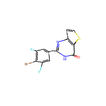 O=c1[nH]c(-c2cc(F)c(Br)c(F)c2)nc2ccsc12